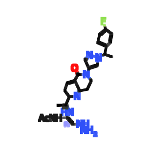 CC(=O)N/C(=C/NN)N[C@@H](C)C1CC=C2C(=O)N(c3cnn(C(C)c4ccc(F)cc4)c3)CCC2=N1